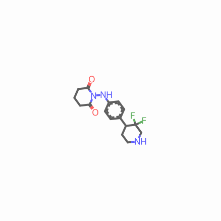 O=C1CCCC(=O)N1Nc1ccc(C2CCNCC2(F)F)cc1